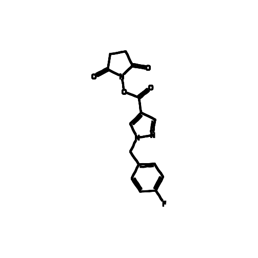 O=C(ON1C(=O)CCC1=O)c1cnn(Cc2ccc(F)cc2)c1